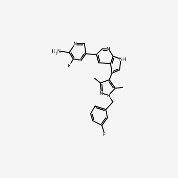 Cc1nn(Cc2cccc(F)c2)c(C)c1-c1c[nH]c2ncc(-c3cnc(N)c(F)c3)cc12